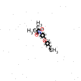 CCCc1ccc(OCc2ccc(N3C(=O)C(C)=C(C)C3=O)cc2)cc1